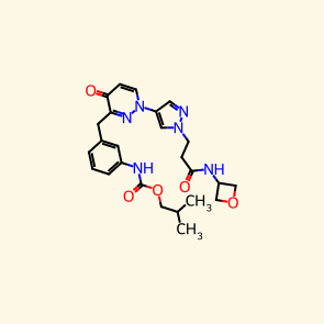 CC(C)COC(=O)Nc1cccc(Cc2nn(-c3cnn(CCC(=O)NC4COC4)c3)ccc2=O)c1